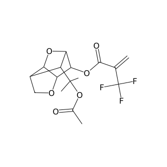 C=C(C(=O)OC1C2OCC3C2OC1C3C(C)(C)OC(C)=O)C(F)(F)F